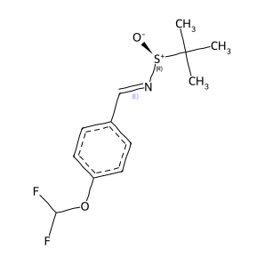 CC(C)(C)[S@+]([O-])/N=C/c1ccc(OC(F)F)cc1